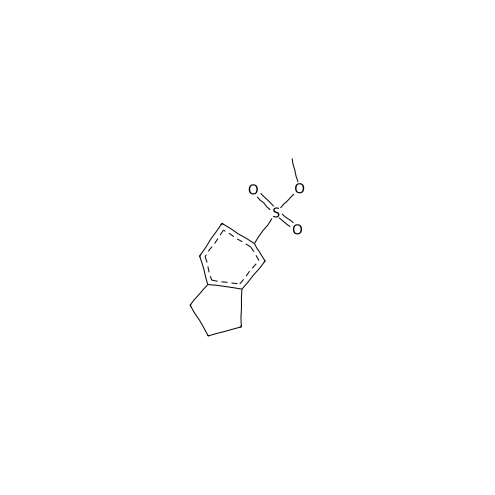 COS(=O)(=O)c1ccc2c(c1)CCC2